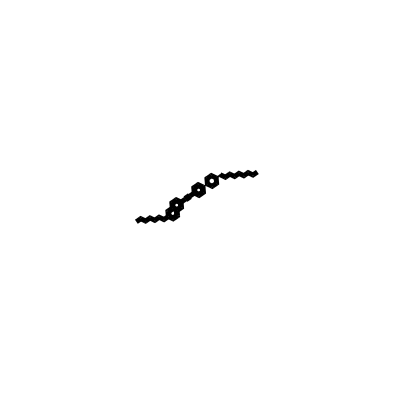 CCCCCCCCC[C@H]1CC[C@H](c2ccc(C#Cc3ccc4cc(CCCCCCC)ccc4c3)cc2)CC1